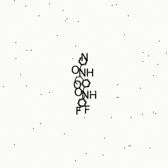 O=C(N[C@H]1CCOc2c(C(=O)Nc3ccc(F)c(F)c3)cccc21)c1ccncc1